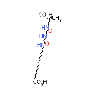 C[C@@H](CCCCNC(=O)CCNCCC(=O)NCCCCCCCCCCCCCCCCC(=O)O)C(=O)O